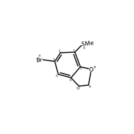 CSc1cc(Br)cc2c1OCC2